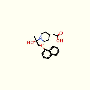 CC(=O)O.CC(O)(COc1cccc2ccccc12)N1CCCCC1